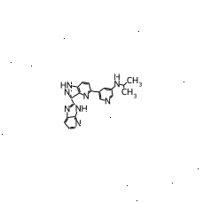 CC(C)Nc1cncc(-c2ccc3[nH]nc(-c4nc5cccnc5[nH]4)c3n2)c1